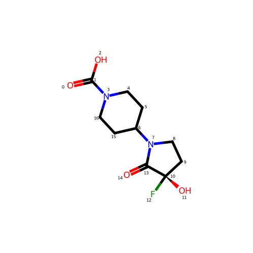 O=C(O)N1CCC(N2CC[C@](O)(F)C2=O)CC1